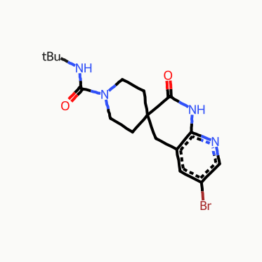 CC(C)(C)NC(=O)N1CCC2(CC1)Cc1cc(Br)cnc1NC2=O